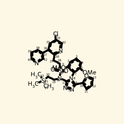 COc1cccc(OC)c1-n1c(-c2ccco2)nnc1N(CC[Si](C)(C)C)S(=O)(=O)CCc1ncc(Cl)cc1-c1cccnc1